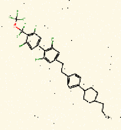 CCCC1CCC(c2ccc(CCc3cc(F)c(-c4cc(F)c(C(F)(F)OC(F)(F)F)c(F)c4)c(F)c3)cc2)CC1